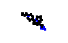 C=C(C1CCN(C)CC1)N1CCCC1CCN